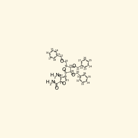 NC(=O)c1occ(C2OC(COCc3ccccc3)C(OCc3ccccc3)C2OCc2ccccc2)c1N